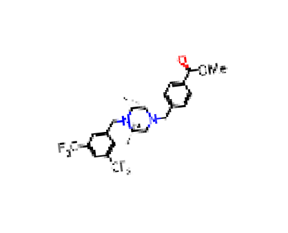 COC(=O)c1ccc(CN2C[C@@H](C)N(Cc3cc(C(F)(F)F)cc(C(F)(F)F)c3)[C@@H](C)C2)cc1